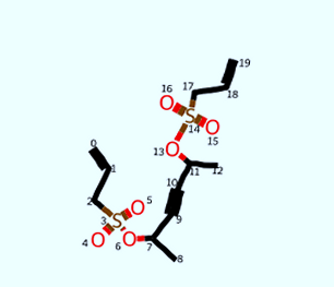 C=CCS(=O)(=O)OC(C)C#CC(C)OS(=O)(=O)CC=C